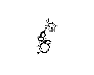 CCC1C2C(=O)[C@H](C)CCCC[C@H](CC)OC(=O)C[C@H]2[C@@H]2CCC3C[C@@H](O[C@H](O)/C(OC)=C(/C)OC)C[C@H]3C12